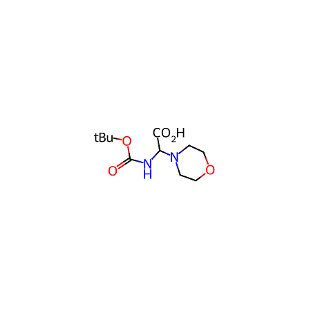 CC(C)(C)OC(=O)NC(C(=O)O)N1CCOCC1